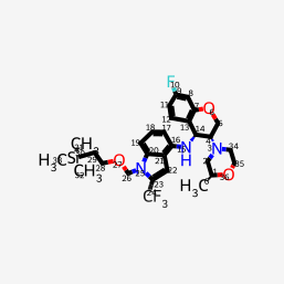 C[C@@H]1CN([C@H]2COc3cc(F)ccc3[C@@H]2Nc2cccc3c2cc(C(F)(F)F)n3COCC[Si](C)(C)C)CCO1